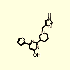 Oc1cc(-c2cccs2)nc(C2CCCN(Cc3c[nH]cn3)C2)n1